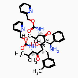 Cc1cccc(C[C@H](C(=O)[C@@H](NC(=O)OCc2ccccn2)C(C)C)[C@@H](O)[C@@H](C(=O)[C@@H](NC(=O)OCc2ccccn2)C(C)C)C(N)c2ccccc2)c1